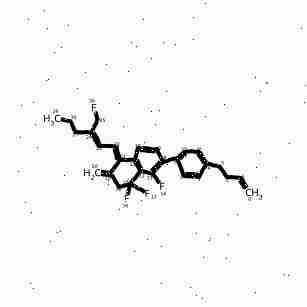 C=CCCc1ccc(-c2ccc3c(c2F)C(F)(F)CC(=C)/C3=C\C=C(/CF)CCC)cc1